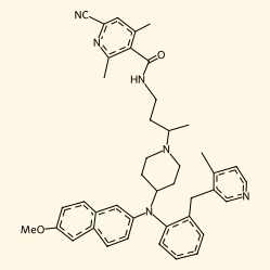 COc1ccc2cc(N(c3ccccc3Cc3cnccc3C)C3CCN(C(C)CCNC(=O)c4c(C)cc(C#N)nc4C)CC3)ccc2c1